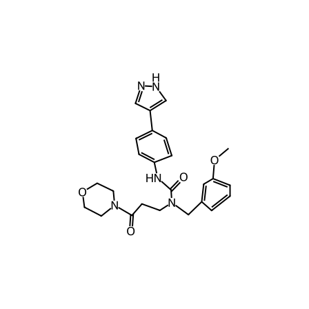 COc1cccc(CN(CCC(=O)N2CCOCC2)C(=O)Nc2ccc(-c3cn[nH]c3)cc2)c1